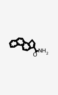 NC(=O)C1=CCc2c1ccc1c2ccc2ccccc21